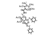 CC(=O)OC[C@@H](OC(C)=O)[C@H](OC(C)=O)[C@@H](OC(C)=O)[C@@H](OC(C)=O)C(=O)NC[C@H]1O[C@H](OCc2ccccc2)[C@H](NC(=O)OCc2ccccc2)[C@@H](OC(C)=O)[C@@H]1OC(C)=O